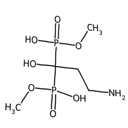 COP(=O)(O)C(O)(CCN)P(=O)(O)OC